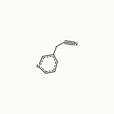 N#C[CH]c1cccnc1